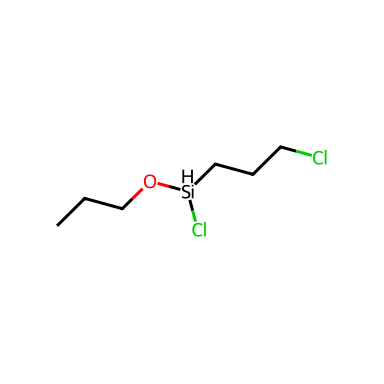 CCCO[SiH](Cl)CCCCl